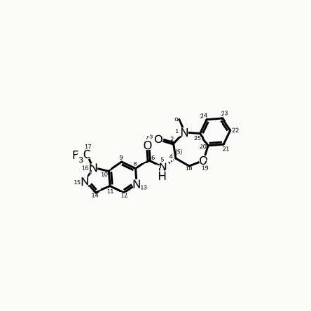 CN1C(=O)[C@@H](NC(=O)c2cc3c(cn2)cnn3C(F)(F)F)COc2ccccc21